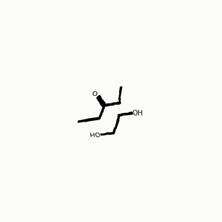 CCC(=O)CC.OCCO